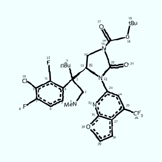 CCCCC(CNC)(c1ccc(F)c(Cl)c1F)[C@H]1CN(C(=O)OC(C)(C)C)C(=O)N1c1cc(C(F)(F)F)c2ccoc2n1